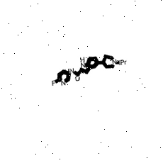 CC(C)N1CCC(c2ccc3[nH]c(C(=O)Nc4ccc(F)nc4)cc3c2)CC1